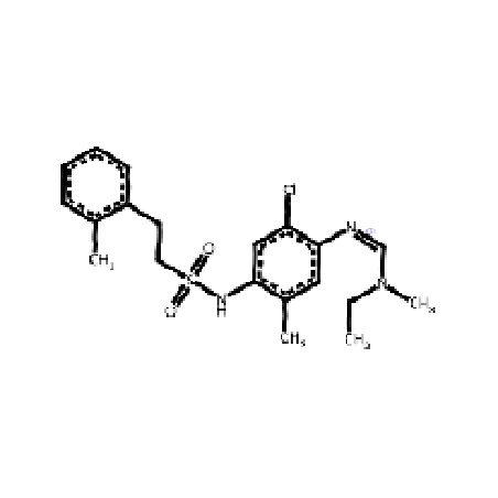 CCN(C)/C=N\c1cc(C)c(NS(=O)(=O)CCc2ccccc2C)cc1Cl